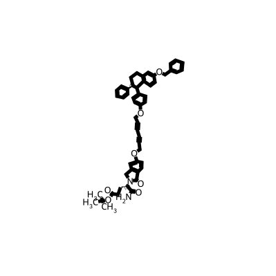 CC(C)(C)OC(=O)CC[C@@H](C(N)=O)N1Cc2cc(OCC#CC#CCOc3ccc(C4c5ccc(OCc6ccccc6)cc5CC[C@@H]4c4ccccc4)cc3)ccc2C1=O